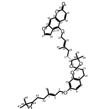 C/C(=C\COc1ccc2c(c1)O[C@]1(CC2)O[C@H](CC/C(C)=C/COc2c3ccoc3cc3oc(=O)ccc23)C(C)(C)O1)CCC1OC1(C)C